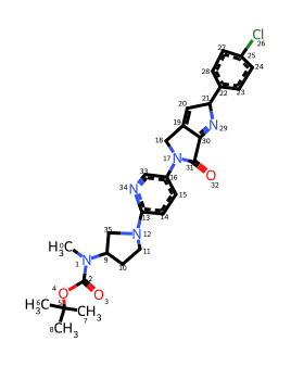 CN(C(=O)OC(C)(C)C)C1CCN(c2ccc(N3CC4=CC(c5ccc(Cl)cc5)N=C4C3=O)cn2)C1